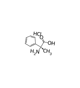 C[C@](N)(C(=O)O)c1ccccc1.Cl